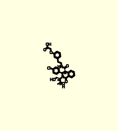 C[C@H](O)[C@H](CO)N1C(=O)c2ccccc2[C@@H](C(=O)NCCc2cccc(OCC(=O)O)c2)[C@@H]1c1ccc(Cl)cc1